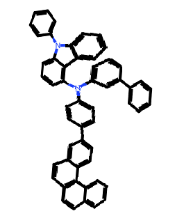 c1ccc(-c2cccc(N(c3ccc(-c4ccc5c(ccc6ccc7ccccc7c65)c4)cc3)c3cccc4c3c3ccccc3n4-c3ccccc3)c2)cc1